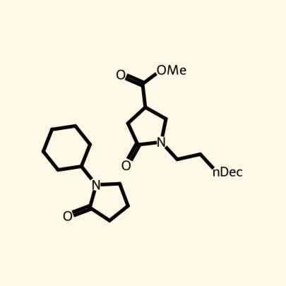 CCCCCCCCCCCCN1CC(C(=O)OC)CC1=O.O=C1CCCN1C1CCCCC1